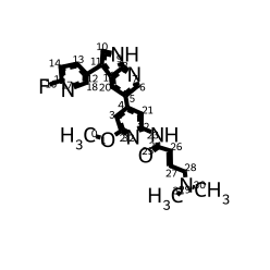 COc1cc(-c2cnc3[nH]cc(-c4ccc(F)nc4)c3c2)cc(NC(=O)C=CCN(C)C)n1